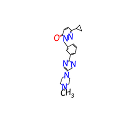 CN1CCN(c2cnc(-c3cccc(Cn4nc(C5CC5)ccc4=O)c3)nc2)CC1